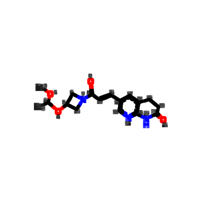 CCOC(CC)OC1CN(C(=O)/C=C/c2cnc3c(c2)CCC(=O)N3)C1